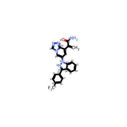 C=C(C(N)=O)c1cc(-n2nc(-c3ccc(C(F)(F)F)cc3)c3ccccc32)cn2cnnc12